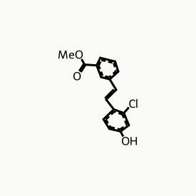 COC(=O)c1cccc(/C=C/c2ccc(O)cc2Cl)c1